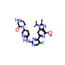 COc1nc(-c2nc(Nc3ccc(N4CCNCC4=O)cn3)ncc2F)cc2c1nc(C)n2C(C)C